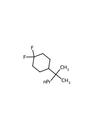 CCCC(C)(C)C1CCC(F)(F)CC1